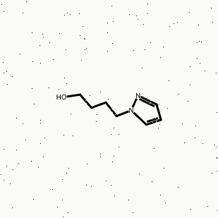 OCCCCn1cc[c]n1